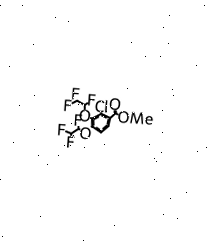 COC(=O)c1ccc(OC(F)C(F)F)c(OC(F)C(F)F)c1Cl